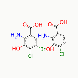 Nc1c(C(=O)O)cc(Br)c(Cl)c1O.Nc1c(C(=O)O)ccc(Cl)c1O